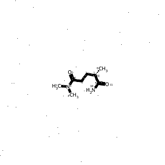 C[C@@H](C[CH]C(=O)N(C)C)C(N)=O